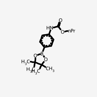 CCCOC(=O)Nc1ccc(B2OC(C)(C)C(C)(C)O2)cc1